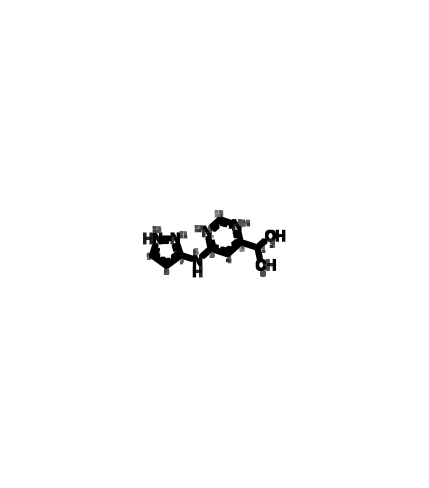 OC(O)c1cc(Nc2cc[nH]n2)ncn1